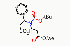 COC(=O)CCN(C(=O)OC(C)(C)C)[C@@H](CC(=O)O)c1ccccc1